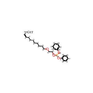 CCCCCCCC/C=C\CCCCCCCCOCCOP(Oc1ccccc1)Oc1ccccc1